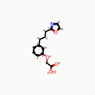 O=C(O)COc1cccc(CCCc2ncco2)c1